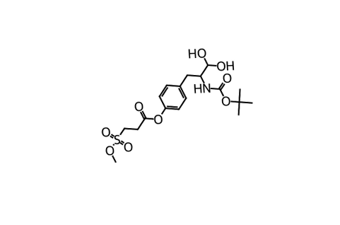 COS(=O)(=O)CCC(=O)Oc1ccc(CC(NC(=O)OC(C)(C)C)C(O)O)cc1